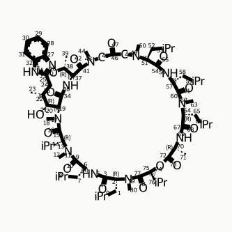 CC(C)C[C@@H]1C(=O)N[C@H](CC(C)C)C(=O)N(C)[C@H](C(C)C)C(=O)N(C)[C@H]([C@H](O)[C@H](C)Cc2nc3ccccc3[nH]2)C(=O)N[C@H]([C@@H](C)O)C(=O)N(C)CC(=O)CN(C)[C@@H](CC(C)C)C(=O)N[C@H](CC(C)C)C(=O)N(C)[C@H](CC(C)C)C(=O)N[C@H](C)C(=O)O[C@@H](C(C)C)C(=O)N1C